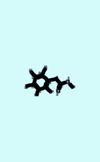 COC(=O)Cc1c(C)c(C)c(C)c(C)c1C